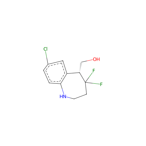 OC[C@H]1c2cc(Cl)ccc2NCCC1(F)F